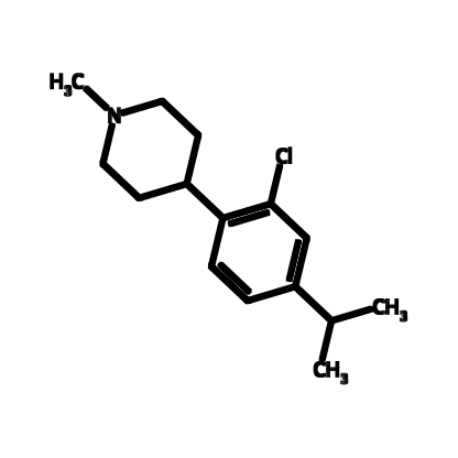 CC(C)c1ccc(C2CCN(C)CC2)c(Cl)c1